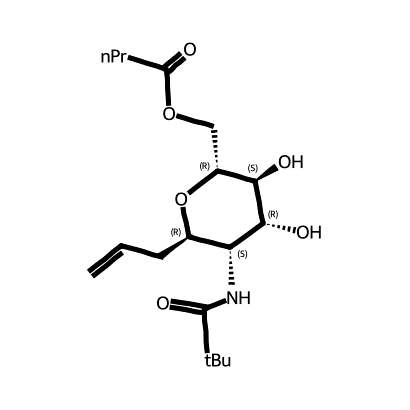 C=CC[C@H]1O[C@H](COC(=O)CCC)[C@@H](O)[C@H](O)[C@@H]1NC(=O)C(C)(C)C